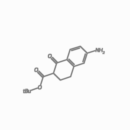 CC(C)(C)OC(=O)C1CCc2cc(N)ccc2C1=O